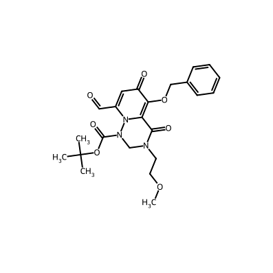 COCCN1CN(C(=O)OC(C)(C)C)n2c(C=O)cc(=O)c(OCc3ccccc3)c2C1=O